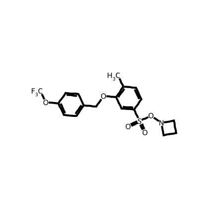 Cc1ccc(S(=O)(=O)ON2CCC2)cc1OCc1ccc(OC(F)(F)F)cc1